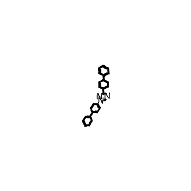 c1ccc(-c2ccc(-c3ncn(-c4ccc(-c5ccccc5)cc4)n3)cc2)cc1